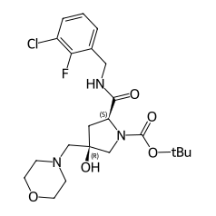 CC(C)(C)OC(=O)N1C[C@](O)(CN2CCOCC2)C[C@H]1C(=O)NCc1cccc(Cl)c1F